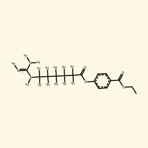 [2H]/N=C(\N([2H])[2H])N([2H])C([2H])([2H])C([2H])([2H])C([2H])([2H])C([2H])([2H])C([2H])([2H])C(=O)Oc1ccc(C(=O)OCC)cc1